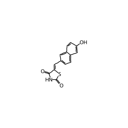 O=C1NC(=O)/C(=C/c2ccc3cc(O)ccc3c2)S1